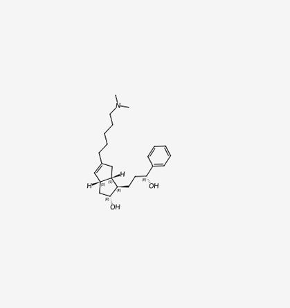 CN(C)CCCCCC1=C[C@H]2C[C@@H](O)[C@H](CC[C@@H](O)c3ccccc3)[C@H]2C1